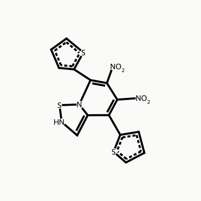 O=[N+]([O-])C1=C(c2cccs2)C2=CNSN2C(c2cccs2)=C1[N+](=O)[O-]